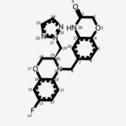 O=C1COc2ccc(CN3c4ccc(F)cc4OC[C@H]3Cn3nccn3)cc2N1